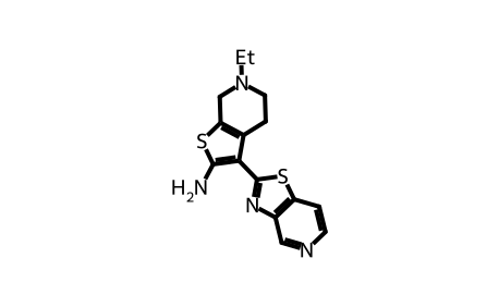 CCN1CCc2c(sc(N)c2-c2nc3cnccc3s2)C1